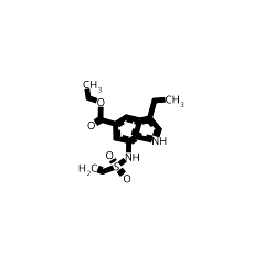 C=CS(=O)(=O)Nc1cc(C(=O)OCC)cc2c(CC)c[nH]c12